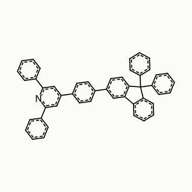 c1ccc(-c2cc(-c3ccc(-c4ccc5c(c4)-c4ccccc4C5(c4ccccc4)c4ccccc4)cc3)cc(-c3ccccc3)n2)cc1